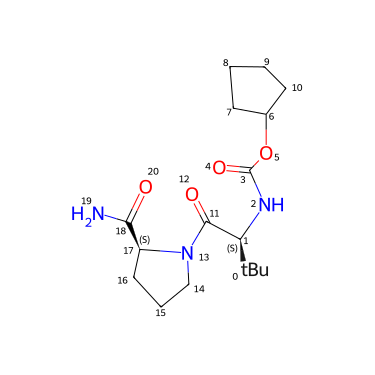 CC(C)(C)[C@H](NC(=O)OC1CCCC1)C(=O)N1CCC[C@H]1C(N)=O